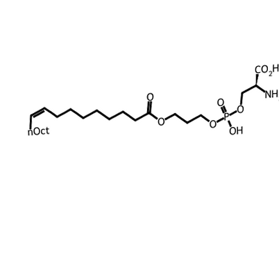 CCCCCCCC/C=C\CCCCCCCC(=O)OCCCOP(=O)(O)OC[C@H](N)C(=O)O